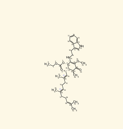 CCOC(=O)O[C@@H]1C(NCCc2c[nH]c3ccccc23)=C(OC)C(=O)[C@@H](C)[C@@H]1C/C=C(\C)CC/C=C(\C)CCC=C(C)C